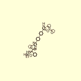 CCNC(=O)N[C@@H](C(=O)N1CCC[C@H]1c1nc(-c2ccc(-c3ccc(-c4c[nH]c([C@@H]5CCCN5C(=O)[C@H]5CCCO5)n4)cc3)cc2)c[nH]1)c1ccccc1